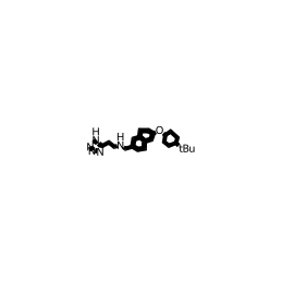 CC(C)(C)C1CCC(Oc2ccc3cc(CNCCc4nnn[nH]4)ccc3c2)CC1